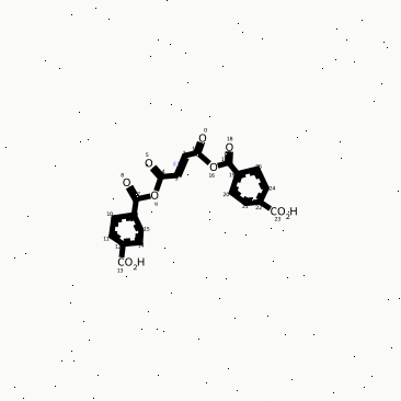 O=C(/C=C/C(=O)OC(=O)c1ccc(C(=O)O)cc1)OC(=O)c1ccc(C(=O)O)cc1